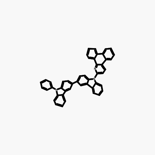 c1ccc(-n2c3ccccc3c3cc(-c4ccc5c(c4)c4ccccc4n5-c4ccc5c6ccccc6c6ccccc6c5n4)ccc32)cc1